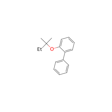 CCC(C)(C)Oc1ccccc1-c1ccccc1